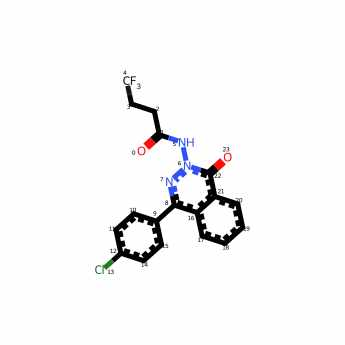 O=C(CCC(F)(F)F)Nn1nc(-c2ccc(Cl)cc2)c2ccccc2c1=O